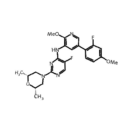 COc1ccc(-c2cnc(OC)c(Nc3nc(N4C[C@@H](C)O[C@@H](C)C4)ncc3F)c2)c(F)c1